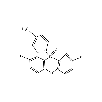 Cc1ccc(P2(=O)c3cc(F)ccc3Oc3ccc(F)cc32)cc1